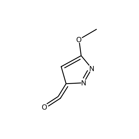 COC1=CC(=C=O)N=N1